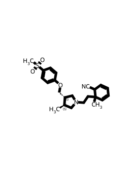 C[C@@H]1CN(CCC2(C)C=CC=CC2C#N)C[C@H]1COc1ccc(S(C)(=O)=O)cc1